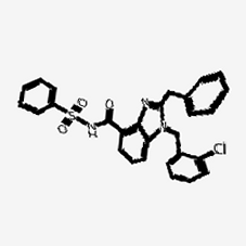 O=C(NS(=O)(=O)c1ccccc1)c1cccc2c1nc(Cc1ccccc1)n2Cc1ccccc1Cl